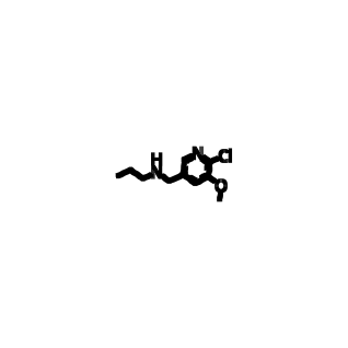 CCCNCc1cnc(Cl)c(OC)c1